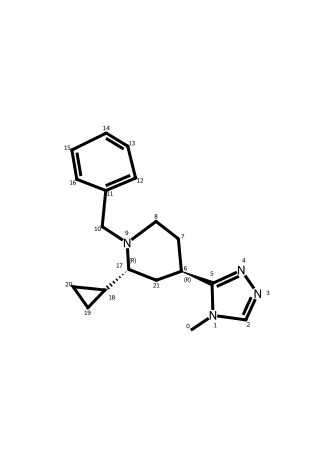 Cn1cnnc1[C@@H]1CCN(Cc2ccccc2)[C@@H](C2CC2)C1